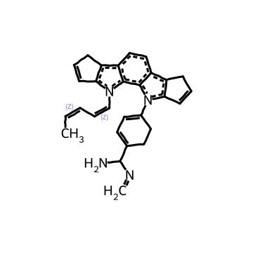 C=NC(N)C1=CC=C(n2c3c(c4ccc5c6c(n(/C=C\C=C/C)c5c42)C=CC6)CC=C3)CC1